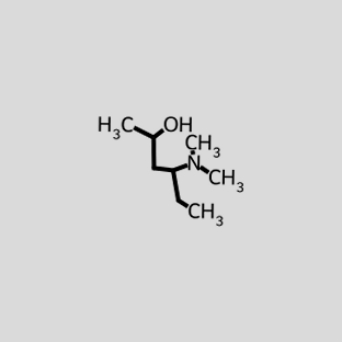 CCC(CC(C)O)N(C)C